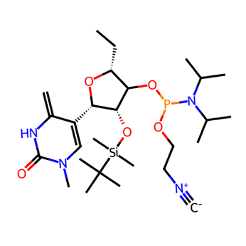 [C-]#[N+]CCOP(OC1[C@@H](CC)O[C@@H](C2=CN(C)C(=O)NC2=C)[C@H]1O[Si](C)(C)C(C)(C)C)N(C(C)C)C(C)C